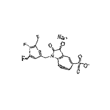 O=C1C(=O)N(Cc2cc(F)c(F)c(F)c2)c2ccc(S(=O)(=O)[O-])cc21.[Na+]